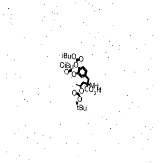 CC(C)COC(=O)Oc1ccc(CC(N)(C[C@H](C)OC(=O)OCC(C)(C)C)C(=O)O)cc1OC(=O)OCC(C)C